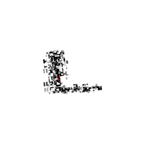 CC#N.CCC#N.CCOC(=O)OC.CCOC(=O)OCC.CCOCC.COC(=O)OC.COS(=O)OC.COc1ccccc1.COc1ccccc1.C[S+](C)[O-].N#CCCC#N.N#CCCCC#N.N#CCCCCC#N.O=c1occo1